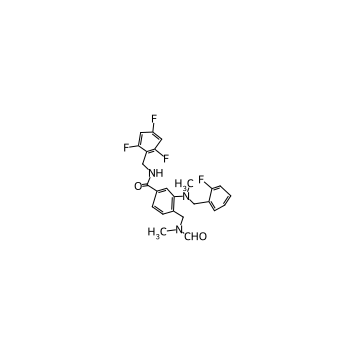 CN(C=O)Cc1ccc(C(=O)NCc2c(F)cc(F)cc2F)cc1N(C)Cc1ccccc1F